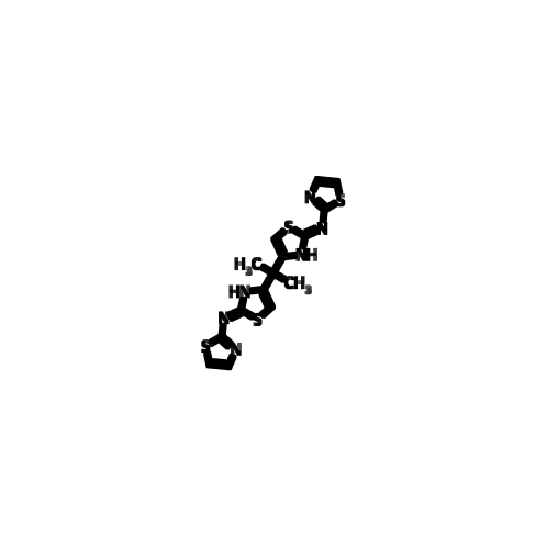 CC(C)(c1cs/c(=N\c2nccs2)[nH]1)c1cs/c(=N\c2nccs2)[nH]1